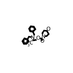 CC(COC(=O)N1CCC(=O)CC1)N(Cc1ccccc1)Cc1ccccc1